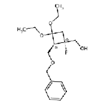 CCOC1(OCC)C[C@@](F)(CO)[C@H]1COCc1ccccc1